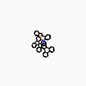 c1ccc(N(c2ccc3c4ccccc4c4ccccc4c3c2)c2cccc3c2C2(c4ccccc4-c4ccccc42)c2ccccc2-3)c(-c2cc3ccccc3s2)c1